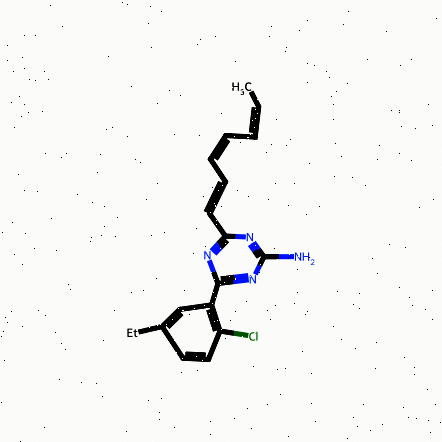 C\C=C/C=C\C=C\c1nc(N)nc(-c2cc(CC)ccc2Cl)n1